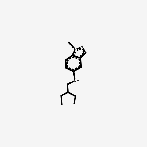 CCC(CC)CNc1ccc2c(cnn2C)c1